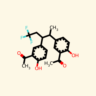 CC(=O)c1cc(C(C)C(CC(F)(F)F)c2ccc(O)c(C(C)=O)c2)ccc1O